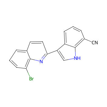 N#Cc1cccc2c(-c3ccc4cccc(Br)c4n3)c[nH]c12